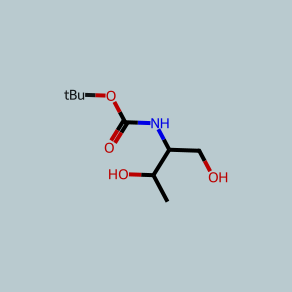 CC(O)C(CO)NC(=O)OC(C)(C)C